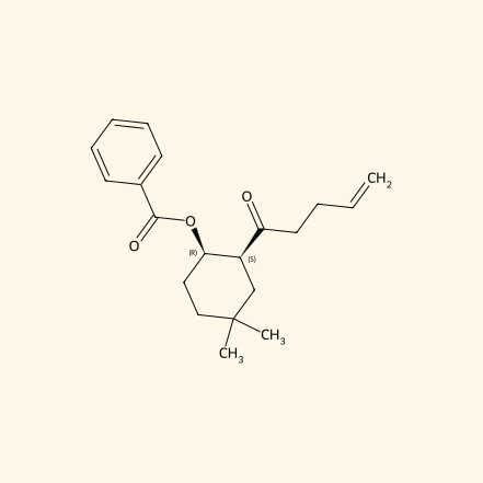 C=CCCC(=O)[C@H]1CC(C)(C)CC[C@H]1OC(=O)c1ccccc1